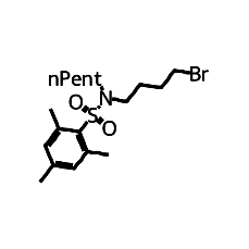 CCCCCN(CCCCBr)S(=O)(=O)c1c(C)cc(C)cc1C